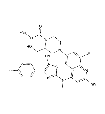 CC(C)c1cc(N(C)c2nc(-c3ccc(F)cc3)c(C#N)s2)c2cc(N3CCN(C(=O)OC(C)(C)C)C(CO)C3)cc(F)c2n1